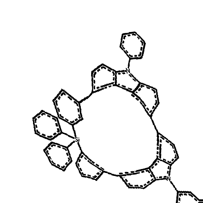 c1ccc(-n2c3ccc4cc3c3cc(ccc32)-c2ccc3c(c2)c2cc(ccc2n3-c2ccccc2)-c2cccc(c2)[Si](c2ccccc2)(c2ccccc2)c2cccc-4c2)cc1